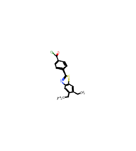 CCc1cc2nc(-c3ccc(C(=O)Cl)cc3)sc2cc1CC